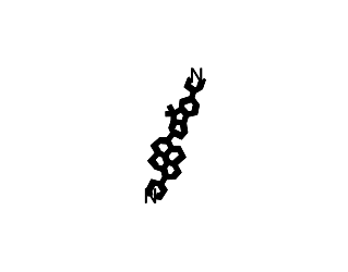 CC1(C)c2cc(-c3ccncc3)ccc2-c2ccc(-c3ccc4ccc5c(-c6ccncc6)ccc6ccc3c4c65)cc21